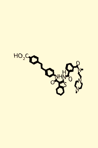 CN1CCN(CCN(C)C(=O)c2cccc(C(=O)Nc3sc4c(c3C(=O)Nc3ccc(CCc5ccc(C(=O)O)cc5)cc3)CCCC4)c2)CC1